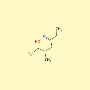 CCC(CC(C)CC)=NO